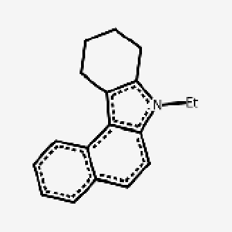 CCn1c2c(c3c4ccccc4ccc31)CCCC2